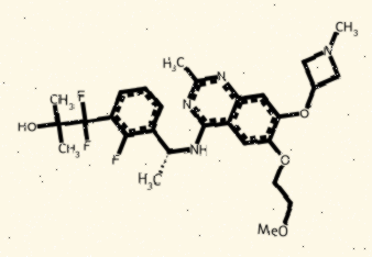 COCCOc1cc2c(N[C@H](C)c3cccc(C(F)(F)C(C)(C)O)c3F)nc(C)nc2cc1OC1CN(C)C1